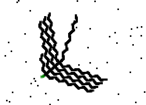 CCCCCCCCCCC(F)(CCCC)C(CCCCCCCCCC)(CCCCCCCCCC)C(CCCCCCCCCC)(CCCCCCCCCC)C(CCCCCCCCCC)(CCCCCCCCCC)CCCCCCCCCC